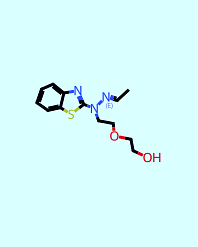 C/C=N/N(CCOCCO)c1nc2ccccc2s1